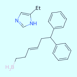 BCCC=CCC(c1ccccc1)c1ccccc1.CCc1cnc[nH]1